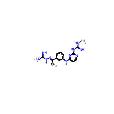 CNC(=N)Nc1nccc(Nc2cccc(/C(C)=N/NC(=N)N)c2)n1